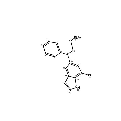 CNCCC(c1ccccc1)c1cc(Cl)c2[nH]ncc2c1